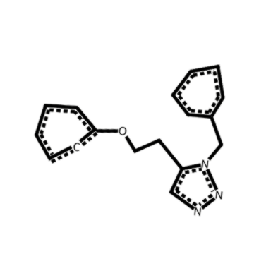 c1ccc(Cn2nncc2CCOc2ccccc2)cc1